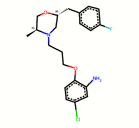 C[C@H]1CO[C@H](Cc2ccc(F)cc2)CN1CCCOc1ccc(Cl)cc1N